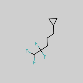 FC(F)C(F)(F)CCCC1CC1